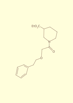 CCOC(=O)C1CCCN(C(=O)COCCc2ccccc2)C1